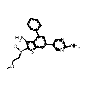 COCC[S+]([O-])c1sc2cc(-c3cnc(N)nc3)cc(-c3ccccc3)c2c1N